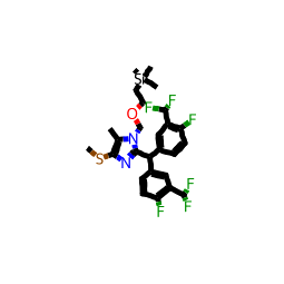 CSc1nc(C(c2ccc(F)c(C(F)F)c2)c2ccc(F)c(C(F)F)c2)n(COCC[Si](C)(C)C)c1C